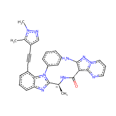 Cc1c(C#Cc2cccc3nc([C@H](C)NC(=O)c4c(N)nn5cccnc45)n(-c4ccccc4)c23)cnn1C